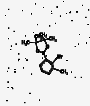 Cc1cccc(B2OC(C)(C)C(C)(C)O2)c1C(C)C